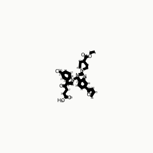 CCOC(=O)C1CCN(c2nc(-n3cc(C(=O)CCC(=O)O)c4cc(Cl)ccc43)c3ccc(-c4ccco4)cc3n2)CC1